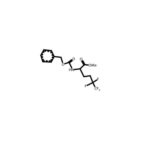 COC(=O)C(CCC(F)(F)C(F)(F)F)NC(=O)OCc1ccccc1